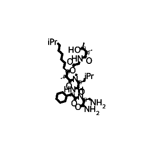 CC(C)CCCCCC[C@@H](OC(=O)CNC(=O)[C@@H](C)[C@H](C)O)[C@@H](C)C(=O)N(C)[C@@H](CC(C)C)C(=O)N[C@H](C(=O)N[C@@H](CN)C(N)=O)C1CCCCC1